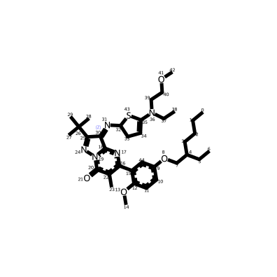 CCCCC(CC)COc1ccc(OC)c(-c2nc3n(c(=O)c2C)N=C(C(C)(C)C)/C3=N/C2CC=C(N(CC)CCOC)S2)c1